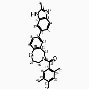 Cc1nc2ccc(-c3ccc4c(c3)CN(C(=O)c3cc(C)c(C)cc3C)CCO4)cc2[nH]1